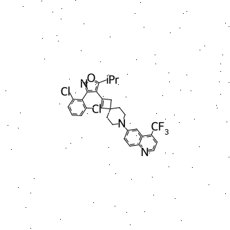 CC(C)c1onc(-c2c(Cl)cccc2Cl)c1C1=CC2(CCN(c3ccc4nccc(C(F)(F)F)c4c3)CC2)C1